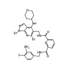 Bc1cc(CNC(=O)c2cccc(C(=O)NCc3c(CC)nc4c(cnn4CC)c3NC3CCOCC3)n2)ccc1F